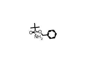 CC(C)(C)P(N)(=O)OCc1ccccc1